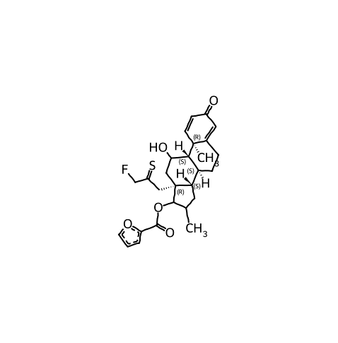 CC1C[C@H]2[C@@H]3CCC4=CC(=O)C=C[C@]4(C)[C@H]3C(O)C[C@]2(CC(=S)CF)C1OC(=O)c1ccco1